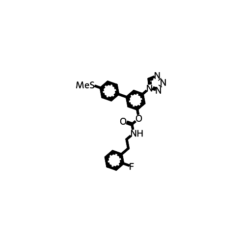 CSc1ccc(-c2cc(OC(=O)NCCc3ccccc3F)cc(-n3cnnn3)c2)cc1